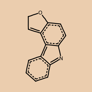 C1=c2c(ccc3c2=c2ccccc2=N3)OC1